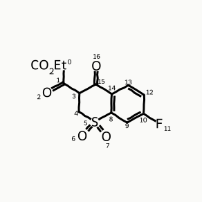 CCOC(=O)C(=O)C1CS(=O)(=O)c2cc(F)ccc2C1=O